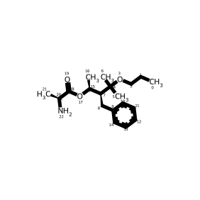 CCCOC(C)(C)[C@@H](Cc1ccccc1)[C@H](C)OC(=O)[C@H](C)N